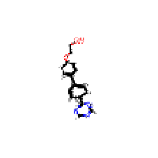 OCCOc1ccc(-c2ccc(-c3ncncn3)cc2)cc1